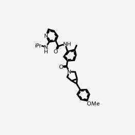 COc1ccc(C2C3CN(C(=O)c4ccc(C)c(NC(=O)c5cccnc5NC(C)C)c4)CC32)cc1